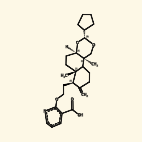 C=C1CCC2[C@]3(C)CO[C@@H](C4CCCC4)O[C@@H]3CC[C@@]2(C)[C@@H]1CCOc1ncccc1C(=O)O